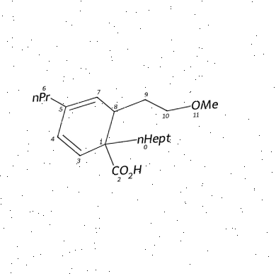 CCCCCCCC1(C(=O)O)C=CC(CCC)=CC1CCOC